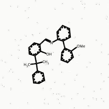 COc1ccccc1-c1ccccc1/N=C/c1cccc(C(C)(C)c2ccccc2)c1O